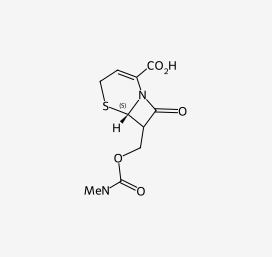 CNC(=O)OCC1C(=O)N2C(C(=O)O)=CCS[C@@H]12